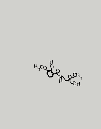 CCO[C@H](CO)CCNC(=O)c1cccc(OC)c1O